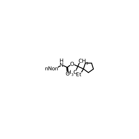 CCCCCCCCCNC(=O)OC(C)(C)C1(CC)CCCC1